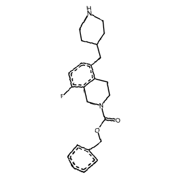 O=C(OCc1ccccc1)N1CCc2c(CC3CCNCC3)ccc(F)c2C1